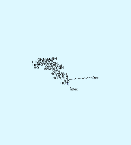 CCCCCCCCCCCCC/C=C/[C@@H](O)[C@H](CO[C@@H]1OC(CO)[C@@H](O[C@@H]2OC(CO)[C@H](O)[C@H](O[C@@H]3OC(CO)[C@@H](O)[C@H](O[C@@H]4OC(CO)[C@H](O)[C@H](O[C@@H]5OC(CO)[C@@H](O)[C@H](O[C@@H]6OC(CO)[C@H](O)[C@H](O)C6O)C5NC(C)=O)C4O)C3NC(C)=O)C2O)[C@H](O)C1O)NC(=O)CCCCCCCCCCCCCCCCCCCCCCCCC